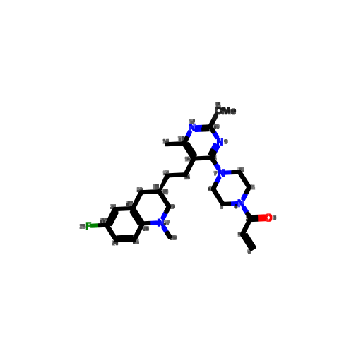 C=CC(=O)N1CCN(c2nc(OC)nc(C)c2CC[C@@H]2Cc3cc(F)ccc3N(C)C2)CC1